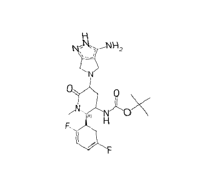 CN1C(=O)C(N2Cc3n[nH]c(N)c3C2)CC(NC(=O)OC(C)(C)C)[C@H]1C1CC(F)=CC=C1F